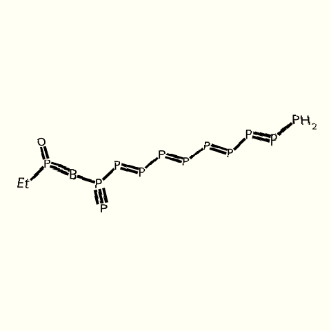 CCP(=O)=BP(#P)P=PP=PP=PP=PP